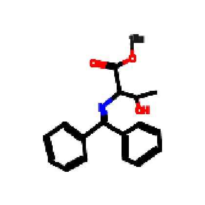 CC(O)C(N=C(c1ccccc1)c1ccccc1)C(=O)OC(C)(C)C